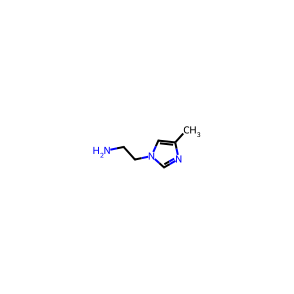 Cc1cn(CCN)cn1